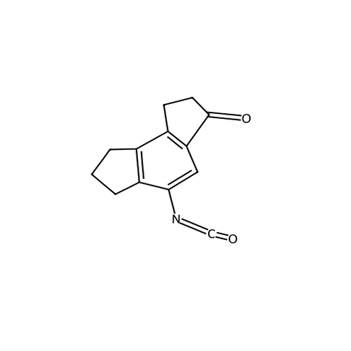 O=C=Nc1cc2c(c3c1CCC3)CCC2=O